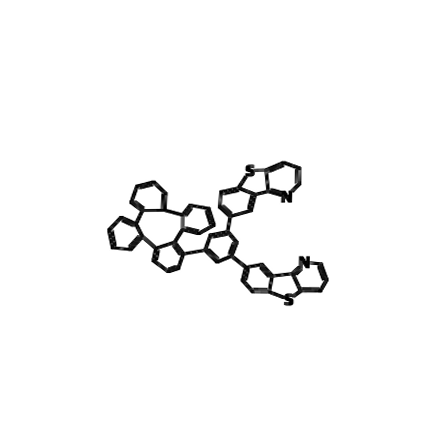 c1ccc2c(c1)-c1ccccc1-c1cccc(-c3cc(-c4ccc5sc6cccnc6c5c4)cc(-c4ccc5sc6cccnc6c5c4)c3)c1-c1ccccc1-2